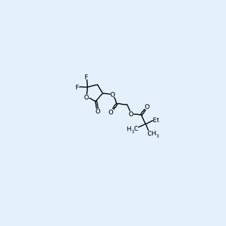 CCC(C)(C)C(=O)OCC(=O)OC1CC(F)(F)OC1=O